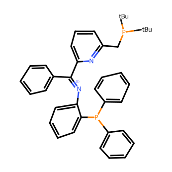 CC(C)(C)P(Cc1cccc(/C(=N/c2ccccc2P(c2ccccc2)c2ccccc2)c2ccccc2)n1)C(C)(C)C